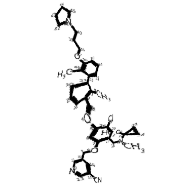 Cc1c(COc2cc(OCc3cncc(C#N)c3)c(CN(C)C3(C(=O)O)CC3)cc2Cl)cccc1-c1cccc(OCCCN2CCCC2)c1C